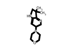 CC1(C)CNC2=CC(N3CCOCC3)CN=C21